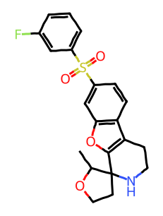 CC1OCCC12NCCc1c2oc2cc(S(=O)(=O)c3cccc(F)c3)ccc12